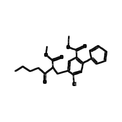 CCCCC(=O)C(Cc1cc(C(=O)OC)c(-c2ccccc2)cc1Cl)C(=O)OC